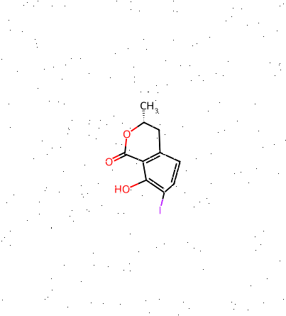 C[C@@H]1Cc2ccc(I)c(O)c2C(=O)O1